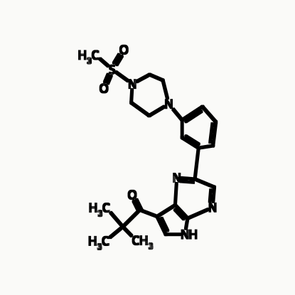 CC(C)(C)C(=O)c1c[nH]c2ncc(-c3cccc(N4CCN(S(C)(=O)=O)CC4)c3)nc12